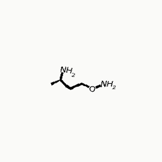 C[C@@H](N)CCON